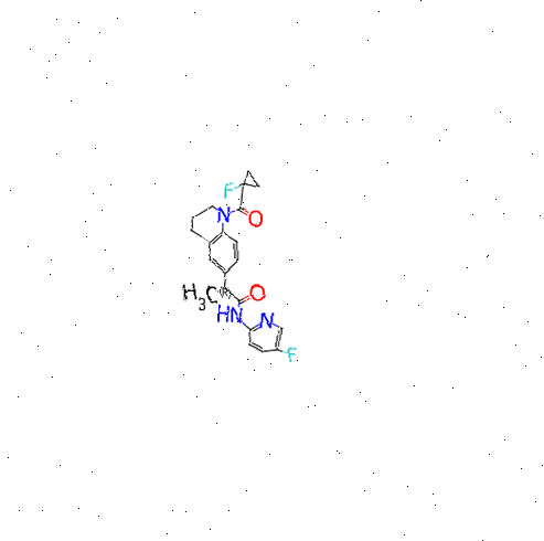 C[C@@H](C(=O)Nc1ccc(F)cn1)c1ccc2c(c1)CCCN2C(=O)C1(F)CC1